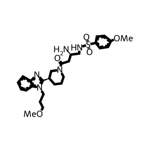 COCCCn1c([C@@H]2CCCN(C(=O)C[C@H](N)CNS(=O)(=O)c3ccc(OC)cc3)C2)nc2ccccc21